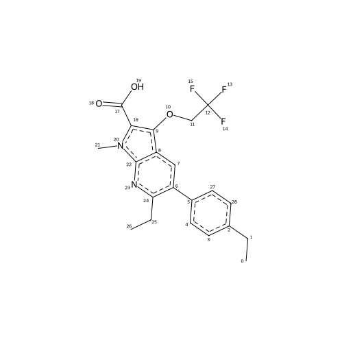 CCc1ccc(-c2cc3c(OCC(F)(F)F)c(C(=O)O)n(C)c3nc2CC)cc1